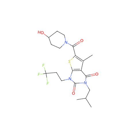 Cc1c(C(=O)N2CCC(O)CC2)sc2c1c(=O)n(CC(C)C)c(=O)n2CCC(F)(F)F